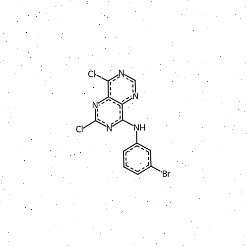 Clc1nc(Nc2cccc(Br)c2)c2ncnc(Cl)c2n1